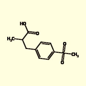 CC(Cc1ccc(S(C)(=O)=O)cc1)C(=O)O